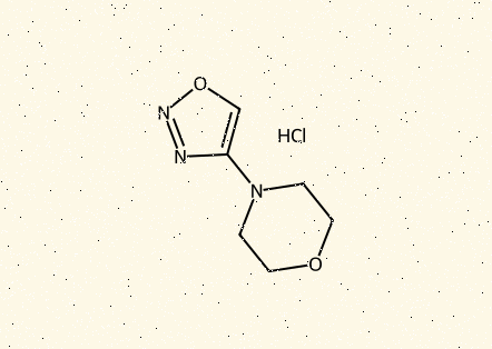 Cl.c1onnc1N1CCOCC1